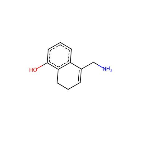 NCC1=CCCc2c(O)cccc21